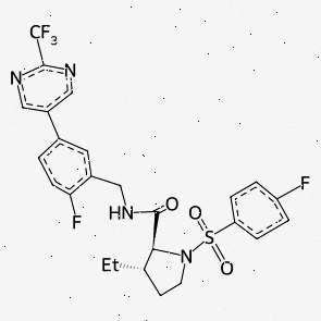 CC[C@H]1CCN(S(=O)(=O)c2ccc(F)cc2)[C@@H]1C(=O)NCc1cc(-c2cnc(C(F)(F)F)nc2)ccc1F